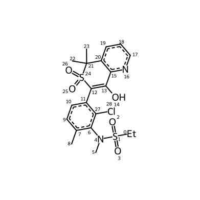 CCS(=O)(=O)N(C)c1c(C)ccc(C2=C(O)c3ncccc3C(C)(C)S2(=O)=O)c1Cl